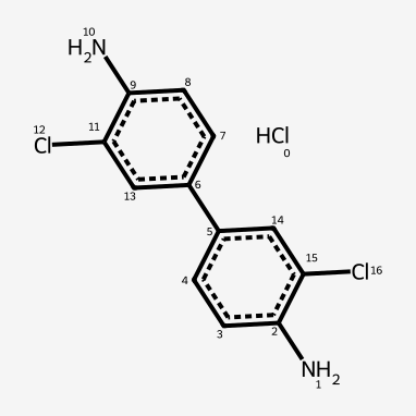 Cl.Nc1ccc(-c2ccc(N)c(Cl)c2)cc1Cl